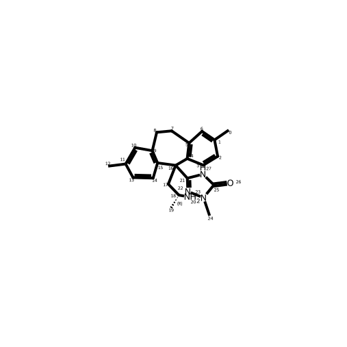 Cc1ccc2c(c1)CCc1cc(C)ccc1C2(C[C@@H](C)N)c1nn(C)c(=O)[nH]1